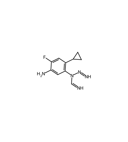 N=CN(N=N)c1cc(N)c(F)cc1C1CC1